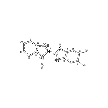 Cc1cc2nc(-n3[se]c4ccccc4c3=S)sc2cc1C